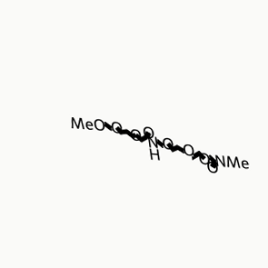 CNC(=O)COCCOCCCOCCNC(=O)COCCCOCCOC